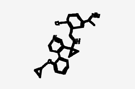 CCCCC(C)c1ccc(Cl)c(CNC2(c3cnccc3-c3ccccc3OC3CC3)CC2)c1